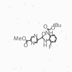 COC(=O)c1cnc(C(=O)Nc2c(F)cccc2NC(=O)OC(C)(C)C)cn1